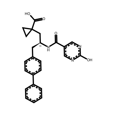 O=C(N[C@@H](Cc1ccc(-c2ccccc2)cc1)CC1(C(=O)O)CC1)c1cnc(O)nc1